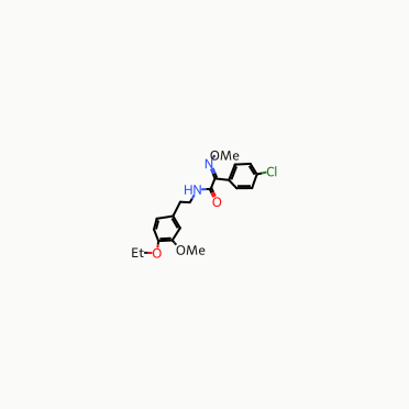 CCOc1ccc(CCNC(=O)C(=NOC)c2ccc(Cl)cc2)cc1OC